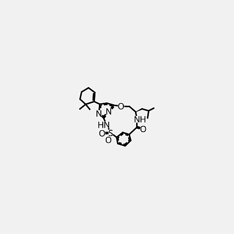 CC(C)C[C@@H]1COc2cc(C3=CCCCC3(C)C)nc(n2)NS(=O)(=O)c2cccc(c2)C(=O)N1